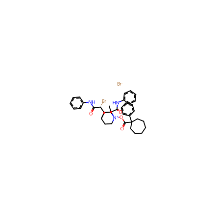 CC1(C(=O)Nc2ccccc2)C([C@@H](Br)C(=O)Nc2ccccc2)C2CC[N+]1(OC(=O)C1(c3ccccc3)CCCCCC1)CC2.[Br-]